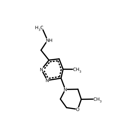 CNCc1cc(C)c(N2CCOC(C)C2)nn1